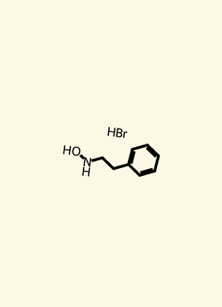 Br.ONCCc1ccccc1